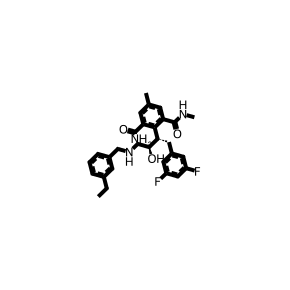 CCc1cccc(CNC[C@H](O)[C@@H](Cc2cc(F)cc(F)c2)c2c(C(N)=O)cc(C)cc2C(=O)NC)c1